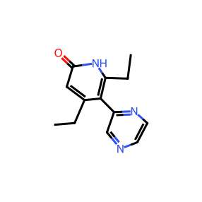 CCc1cc(=O)[nH]c(CC)c1-c1cnccn1